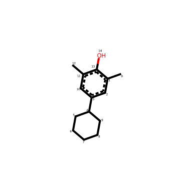 Cc1cc(C2CCCCC2)cc(C)c1O